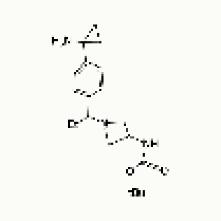 CCC(c1ccc(C2(N)CC2)cc1)N1CC(NC(=O)OC(C)(C)C)C1